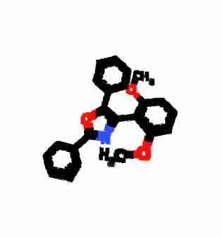 COc1cccc(OC)c1-c1nc(-c2ccccc2)oc1-c1ccccc1